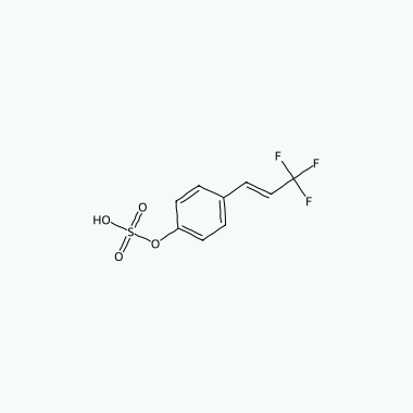 O=S(=O)(O)Oc1ccc(C=CC(F)(F)F)cc1